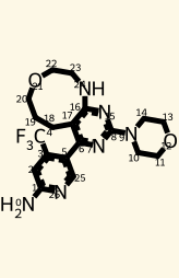 Nc1cc(C(F)(F)F)c(-c2nc(N3CCOCC3)nc3c2CCCOCCN3)cn1